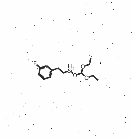 CCOC(OCC)O[SiH2]CCc1cccc(F)c1